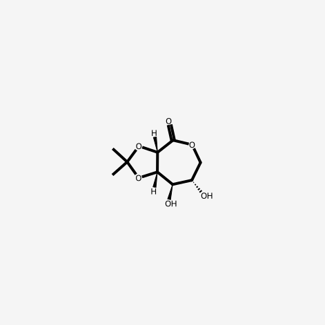 CC1(C)O[C@H]2[C@H](O)[C@@H](O)COC(=O)[C@H]2O1